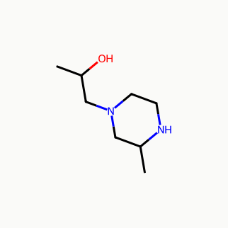 CC(O)CN1CCNC(C)C1